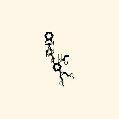 C=CC(=O)Nc1cc(N(CCOC)CCOC)ccc1N=Nc1ncn(-c2nc3ccccc3s2)n1